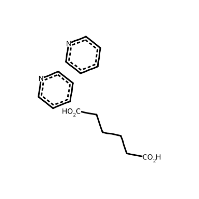 O=C(O)CCCCC(=O)O.c1ccncc1.c1ccncc1